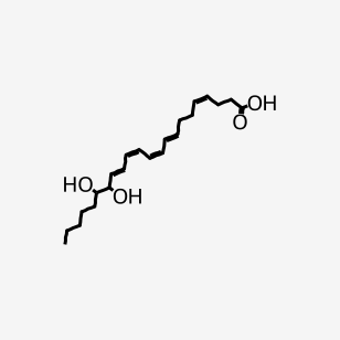 CCCCCC(O)C(O)/C=C/C=C\C=C/C=C/CC/C=C\CCC(=O)O